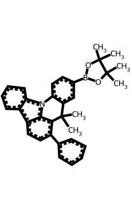 CC1(C)c2cc(B3OC(C)(C)C(C)(C)O3)ccc2-n2c3ccccc3c3ccc(-c4ccccc4)c1c32